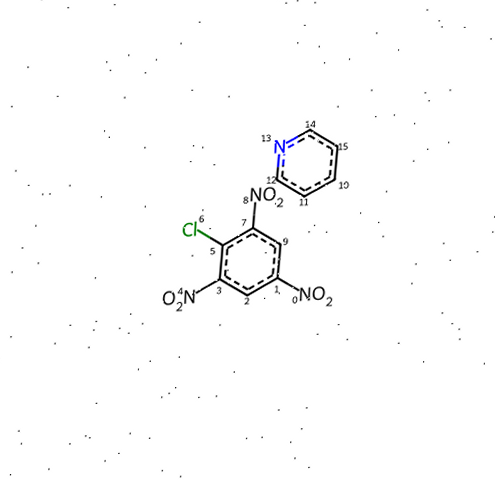 O=[N+]([O-])c1cc([N+](=O)[O-])c(Cl)c([N+](=O)[O-])c1.c1ccncc1